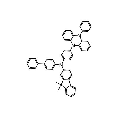 CC1(C)c2ccccc2-c2ccc(N(c3ccc(-c4ccccc4)cc3)c3ccc(N4c5ccccc5N(c5ccccc5)c5ccccc54)cc3)cc21